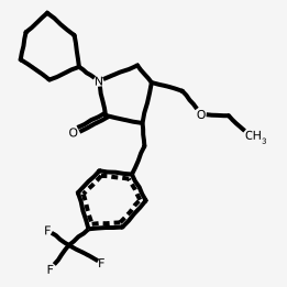 CCOCC1CN(C2CCCCC2)C(=O)C1Cc1ccc(C(F)(F)F)cc1